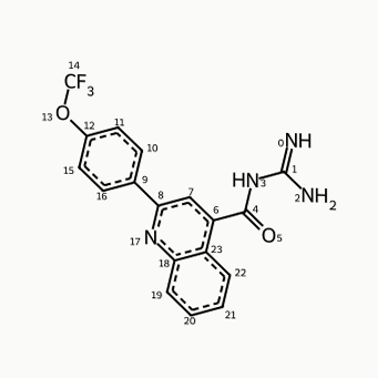 N=C(N)NC(=O)c1cc(-c2ccc(OC(F)(F)F)cc2)nc2ccccc12